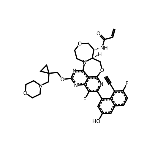 C#Cc1c(F)ccc2cc(O)cc(-c3nc4c5c(nc(OCC6(CN7CCOCC7)CC6)nc5c3F)N3CCOC[C@H](NC(=O)C=C)[C@H]3CO4)c12